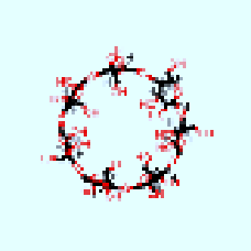 OC[C@H]1OC2O[C@H]3[C@H](O)C(O)[C@H](OC4[C@@H](CO)OC(O[C@H]5[C@H](O)C(O)C(OC6[C@H](O)C(O)C(OC7[C@@H](CO)OC(OC8[C@H](O)C(O)C(OC1C(O)[C@H]2O)O[C@@H]8CO)[C@H](O)[C@H]7O)O[C@@H]6CO)O[C@@H]5CO)[C@H](O)[C@H]4O)O[C@@H]3CO